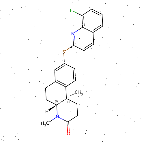 CN1C(=O)CC[C@]2(C)c3ccc(Sc4ccc5cccc(F)c5n4)cc3CC[C@@H]12